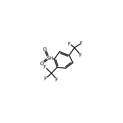 O=[SH](=O)c1cc(C(F)(F)F)ccc1C(F)(F)F